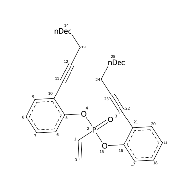 C=CP(=O)(Oc1ccccc1C#CCCCCCCCCCCC)Oc1ccccc1C#CCCCCCCCCCCC